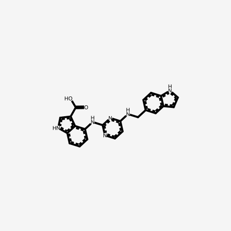 O=C(O)c1c[nH]c2cccc(Nc3nccc(NCc4ccc5[nH]ccc5c4)n3)c12